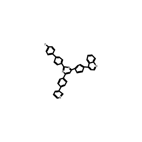 Fc1ccc(-c2ccc(-c3nc(-c4ccc(-c5cccnc5)cc4)cc(-c4ccc(-c5ccnc6ccccc56)cc4)n3)cc2)cc1